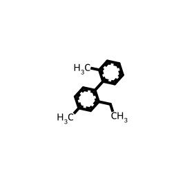 CCc1cc(C)ccc1-c1ccccc1C